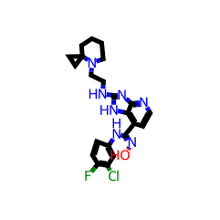 O/N=C(\Nc1ccc(F)c(Cl)c1)c1ccnc2nc(NCCN3CCCCC34CC4)[nH]c12